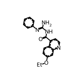 CCOc1ccc2c(C(=O)NC(N)=Nc3ccccc3)ccnc2c1